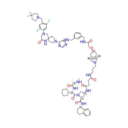 CN[C@@H](C)C(=O)N[C@H](C(=O)N1C[C@@H](NC(=O)CCC(=O)NCCCN2C[C@H]3C[C@@H](OCC(=O)NCc4cccc(CNc5cc(N6CCC7(CC6)CN(c6cc(F)c(CN8CCC(C)(C)CC8)cc6F)CC(=O)N7)ncn5)c4)C[C@H]3C2)C[C@H]1C(=O)N[C@H]1CCCc2ccccc21)C1CCCCC1